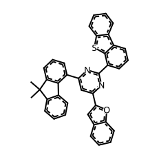 CC1(C)c2ccccc2-c2c(-c3cc(-c4cc5ccccc5o4)nc(-c4cccc5c4sc4ccccc45)n3)cccc21